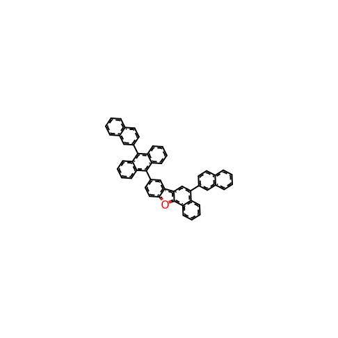 c1ccc2cc(-c3c4ccccc4c(-c4ccc5oc6c7ccccc7c(-c7ccc8ccccc8c7)cc6c5c4)c4ccccc34)ccc2c1